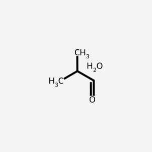 CC(C)C=O.O